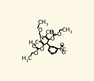 CCOCN1C(C)=C(OC(=O)OCC)C(c2cccc([N+](=O)[O-])c2)C(OC(=O)OCC)=C1C